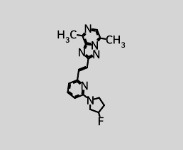 Cc1ncc(C)n2nc(/C=C/c3cccc(N4CCC(F)C4)n3)nc12